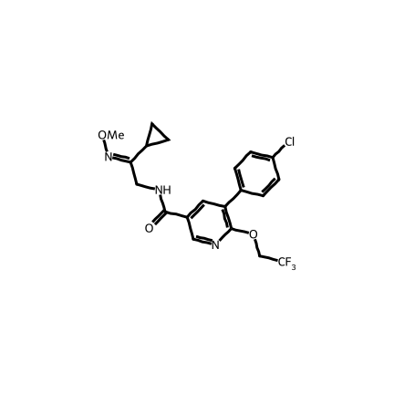 CO/N=C(/CNC(=O)c1cnc(OCC(F)(F)F)c(-c2ccc(Cl)cc2)c1)C1CC1